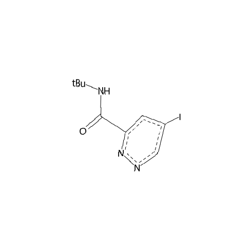 CC(C)(C)NC(=O)c1cc(I)cnn1